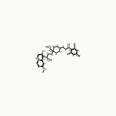 COc1ccc2ncc(F)c([C@H](O)CCC3(CO)CCN(CCNc4c(F)cc(F)cc4F)CC3)c2c1